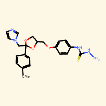 COc1ccc(C2(Cn3ccnc3)OCC(COc3ccc(NC(=S)NN)cc3)O2)cc1